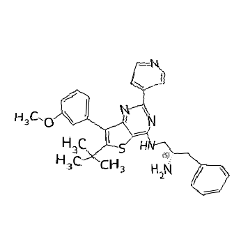 COc1cccc(-c2c(C(C)(C)C)sc3c(NC[C@@H](N)Cc4ccccc4)nc(-c4ccncc4)nc23)c1